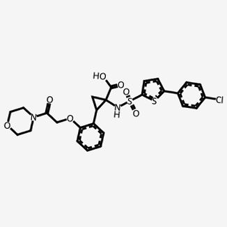 O=C(COc1ccccc1C1CC1(NS(=O)(=O)c1ccc(-c2ccc(Cl)cc2)s1)C(=O)O)N1CCOCC1